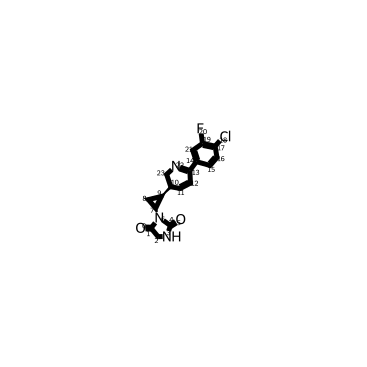 O=C1CNC(=O)N1[C@@H]1C[C@H]1C1C=CC(c2ccc(Cl)c(F)c2)=NC1